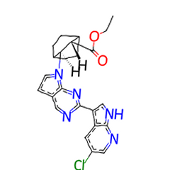 CCOC(=O)[C@H]1C2CCC(CC2)[C@@H]1n1ccc2cnc(-c3c[nH]c4ncc(Cl)cc34)nc21